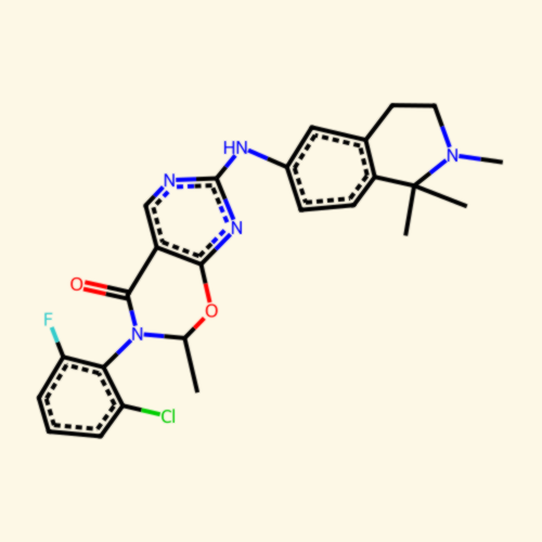 CC1Oc2nc(Nc3ccc4c(c3)CCN(C)C4(C)C)ncc2C(=O)N1c1c(F)cccc1Cl